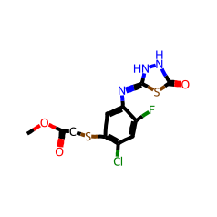 COC(=O)CSc1cc(/N=c2/[nH][nH]c(=O)s2)c(F)cc1Cl